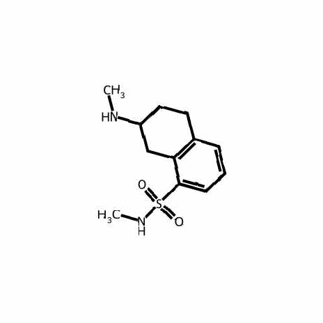 CNC1CCc2cccc(S(=O)(=O)NC)c2C1